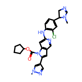 CN1C=NCC1c1ccc(Nc2cc3c(cn2)cc(-c2cnn(C)c2)n3C(=O)OC2CCCC2)c(Cl)c1